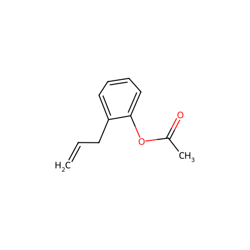 C=CCc1ccccc1OC(C)=O